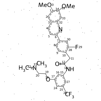 COc1cc2ccc(-c3ccc(CC(=O)Nc4cc(OCCN(C)C)cc(C(F)(F)F)c4)c(F)c3)nc2cc1OC